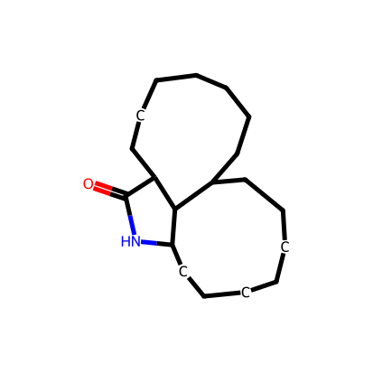 O=C1NC2CCCCCCCC3CCCCCCCC1C32